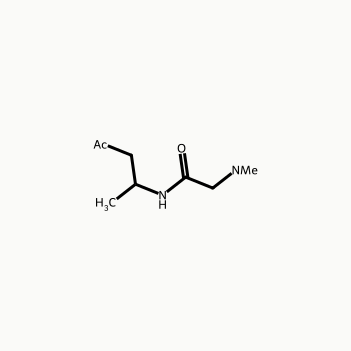 CNCC(=O)NC(C)CC(C)=O